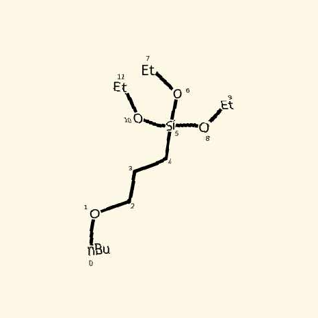 CCCCOCCC[Si](OCC)(OCC)OCC